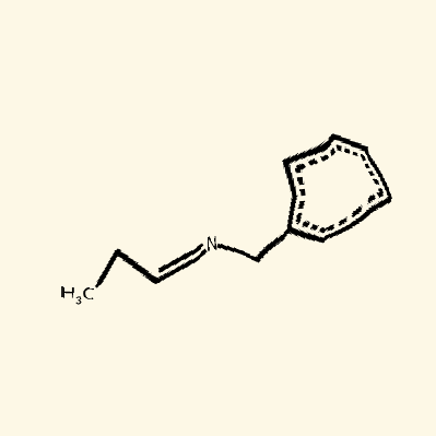 CC/C=N/Cc1ccccc1